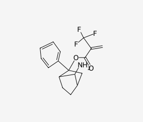 C=C(C(=O)OC1(c2ccccc2)CC2CCC1C2N)C(F)(F)F